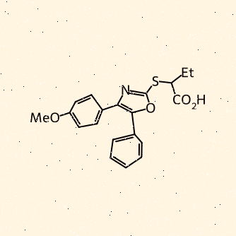 CCC(Sc1nc(-c2ccc(OC)cc2)c(-c2ccccc2)o1)C(=O)O